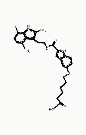 Cc1[nH]c2c(F)ccc(C)c2c1CCNC(=O)c1cc2cc(OCCCCCC(=O)O)ccc2[nH]1